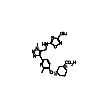 Cc1nc(-c2nnn(C)c2CNc2nc(C(C)(C)C)no2)ccc1O[C@H]1CCC[C@H](C(=O)O)C1